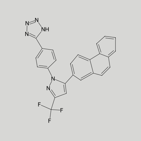 FC(F)(F)c1cc(-c2ccc3c(ccc4ccccc43)c2)n(-c2ccc(-c3nnn[nH]3)cc2)n1